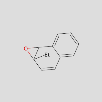 CCC12C=Cc3ccccc3C1O2